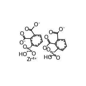 O=C([O-])c1cccc(S(=O)(=O)O)c1C(=O)[O-].O=C([O-])c1cccc(S(=O)(=O)O)c1C(=O)[O-].[Zr+4]